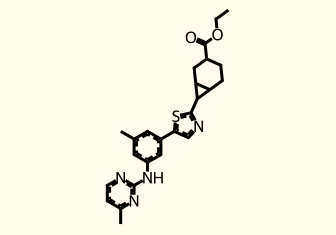 CCOC(=O)C1CCC2C(C1)C2c1ncc(-c2cc(C)cc(Nc3nccc(C)n3)c2)s1